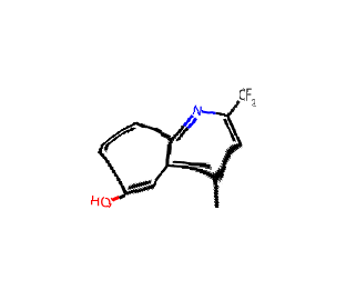 Cc1cc(C(F)(F)F)nc2ccc(O)cc12